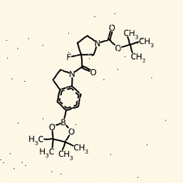 CC(C)(C)OC(=O)N1CCC(F)(C(=O)N2CCc3cc(B4OC(C)(C)C(C)(C)O4)ccc32)C1